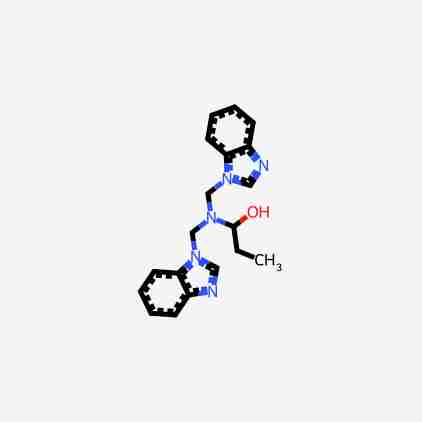 CCC(O)N(Cn1cnc2ccccc21)Cn1cnc2ccccc21